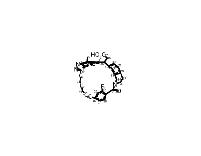 Cc1c2cnc3c1nnn3CCCCCCc1ccc(c(F)c1)C(=O)N1CCc3ccc(cc3C1)C2CC(=O)O